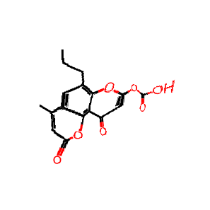 CCCc1cc2c(C)cc(=O)oc2c2c(=O)cc(OC(=O)O)oc12